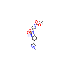 Cn1cc(-c2ccc3c(c2)NS(=O)(=O)N([C@@H]2CCN(C(=O)OC(C)(C)C)C2)C3)cn1